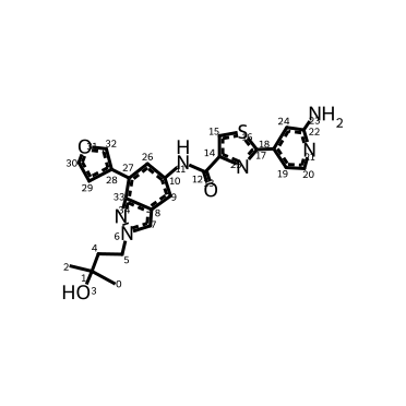 CC(C)(O)CCn1cc2cc(NC(=O)c3csc(-c4ccnc(N)c4)n3)cc(-c3ccoc3)c2n1